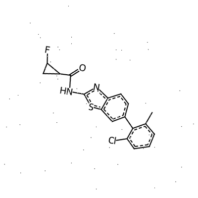 Cc1cccc(Cl)c1-c1ccc2nc(NC(=O)C3CC3F)sc2c1